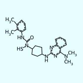 Cc1cccc(NC(=O)N(S)C2CCC(Nc3nc(N(C)C)c4ccccc4n3)CC2)c1C